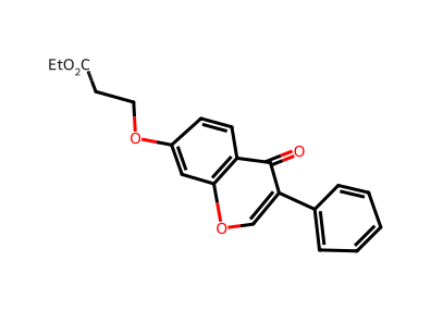 CCOC(=O)CCOc1ccc2c(=O)c(-c3ccccc3)coc2c1